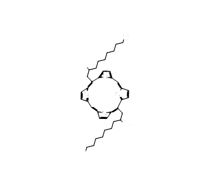 CCCCCCCCC(C)Cc1c2nc(cc3ccc([nH]3)c(CC(C)CCCCCCCC)c3nc(cc4ccc1[nH]4)C=C3)C=C2